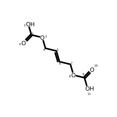 O=C(O)OCC=CCOC(=O)O